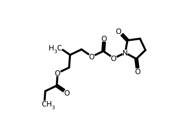 CCC(=O)OCC(C)COC(=O)ON1C(=O)CCC1=O